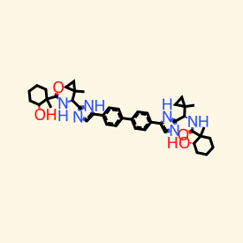 CC1([C@H](NC(=O)C2(C)CCCC[C@@H]2O)c2ncc(-c3ccc(-c4ccc(-c5cnc([C@@H](NC(=O)C6(C)CCCC[C@@H]6O)C6(C)CC6)[nH]5)cc4)cc3)[nH]2)CC1